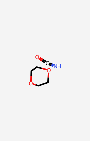 C1COCCO1.N=C=O